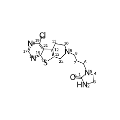 O=C1NCCN1CCCN1CCc2c(sc3ncnc(Cl)c23)C1